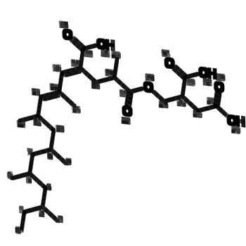 CCC(C)CC(C)CC(C)CC(C)/C=C(C)/C=C(\CC(C)C(=O)OCC(CC(=O)O)C(=O)O)C(=O)O